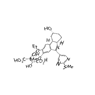 CCOc1cc2c(cc1OC)C(c1cnc(SC)nc1)=N[C@@H]1CC[C@@H](O)C[C@H]21.O=C(O)C(O)C(O)C(=O)O